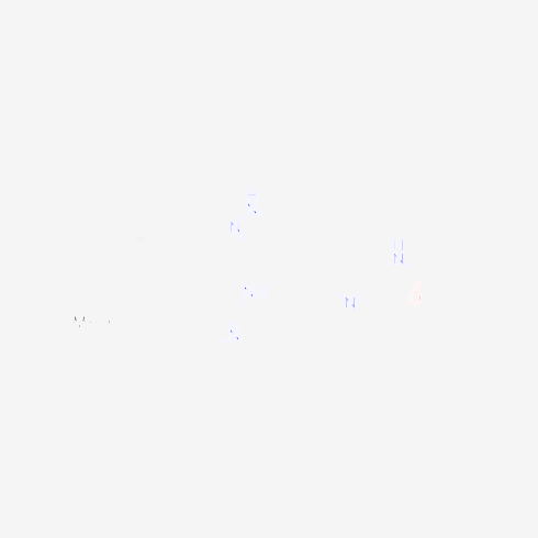 COc1cc(F)cc(-c2ccnc3[nH]c(-c4n[nH]c5ccc(-c6cncc(NC(=O)C7CC7)c6)cc45)cc23)c1